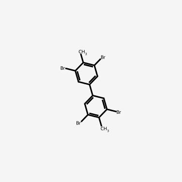 Cc1c(Br)cc(-c2cc(Br)c(C)c(Br)c2)cc1Br